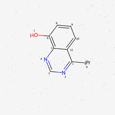 CC(C)c1ncnc2c(O)cccc12